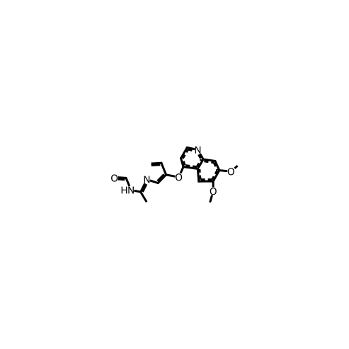 C=C/C(=C\N=C(/C)NC=O)Oc1ccnc2cc(OC)c(OC)cc12